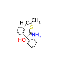 CC(C)SC[C@@H](N)C(O)(c1ccccc1)c1ccccc1